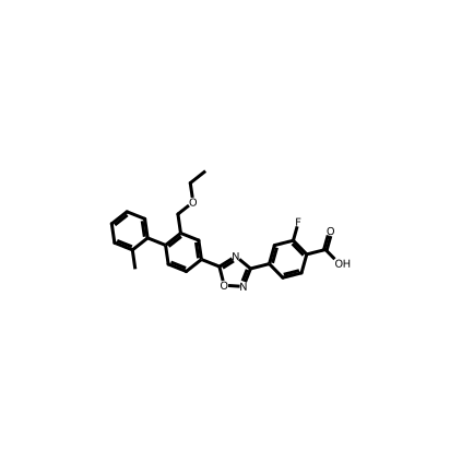 CCOCc1cc(-c2nc(-c3ccc(C(=O)O)c(F)c3)no2)ccc1-c1ccccc1C